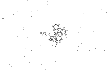 CCCC(C)C(CC=CI)OC(c1ccccc1)(c1ccccc1)c1ccccc1